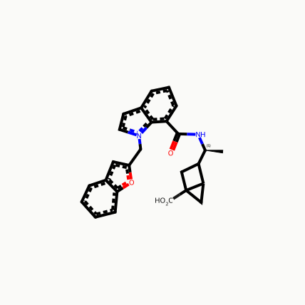 C[C@H](NC(=O)c1cccc2ccn(Cc3cc4ccccc4o3)c12)C1CC2(C(=O)O)CC12